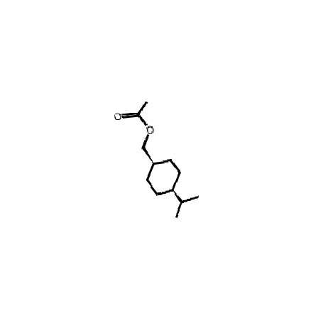 CC(=O)OC[C@H]1CC[C@@H](C(C)C)CC1